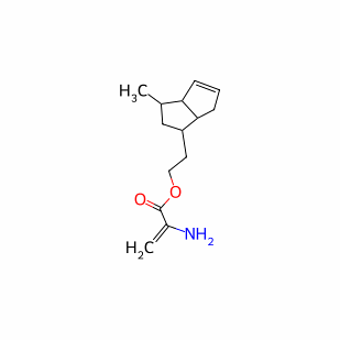 C=C(N)C(=O)OCCC1CC(C)C2C=CCC12